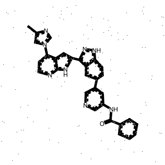 Cc1cn(-c2ccnc3[nH]c(-c4n[nH]c5ccc(-c6cncc(NC(=O)c7ccccc7)c6)cc45)cc23)cn1